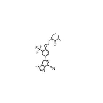 CCN(CCOc1ccc(-c2cc3c(ncn3C)c(C#N)n2)cc1C(F)(F)F)C(=O)C(C)C